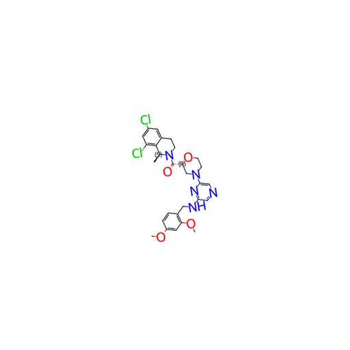 COc1ccc(CNc2cncc(N3CCO[C@@H](C(=O)N4CCc5cc(Cl)cc(Cl)c5[C@@H]4C)C3)n2)c(OC)c1